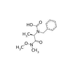 CON(C)C(=O)[C@@H](C)N(Cc1ccccc1)C(=O)O